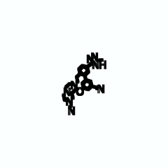 Cc1nnc(-c2ccc(CCN3CCN4CCN(C#N)CC4C3=O)c(-c3cccc(C#N)c3)c2)[nH]1